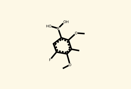 COc1c(F)cc(B(O)O)c(OC)c1C